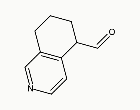 O=CC1CCCc2cnccc21